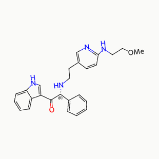 COCCNc1ccc(CCN[C@@H](C(=O)c2c[nH]c3ccccc23)c2ccccc2)cn1